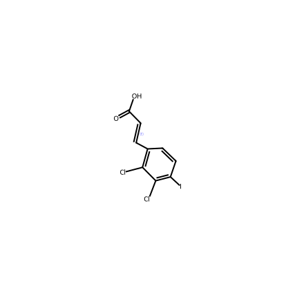 O=C(O)/C=C/c1ccc(I)c(Cl)c1Cl